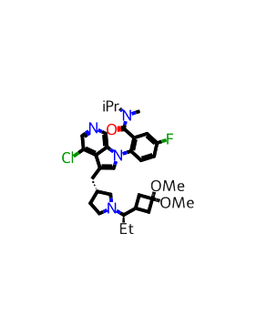 CC[C@H](C1CC(OC)(OC)C1)N1CC[C@H](Cc2cn(-c3ccc(F)cc3C(=O)N(C)C(C)C)c3cncc(Cl)c23)C1